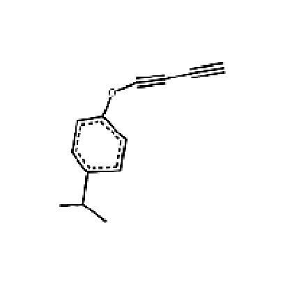 C#CC#COc1ccc(C(C)C)cc1